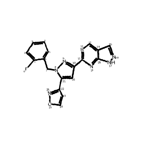 Fc1ccccc1Cn1nc(-c2ncc3cn[nH]c3n2)cc1-c1ccon1